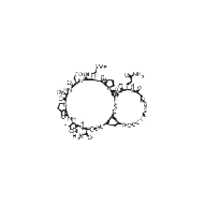 CSCC[C@@H]1NC(=O)[C@@H]2CCCN2C(=O)[C@@H]2CSCc3cc(cc(c3)OCCCCCCO/N=C/C(=O)N[C@@H](CCC(N)=O)C(=O)N2)CSC[C@@H](C(N)=O)NC(=O)[C@H]([C@@H](C)O)NC(=O)[C@@H]2CCCN2C(=O)C(C(C)C)NC(=O)[C@H](CC(=O)O)NC1=O